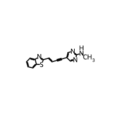 CNc1ncc(C#CC=Cc2nc3ccccc3s2)cn1